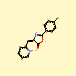 O=C1OC(c2ccc(Cl)cc2)=N/C1=C/c1ccccn1